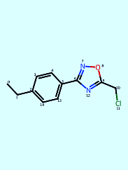 CCc1ccc(-c2noc(CCl)n2)cc1